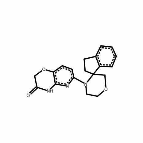 O=C1COc2ccc(N3CCOCC34CCc3ccccc34)nc2N1